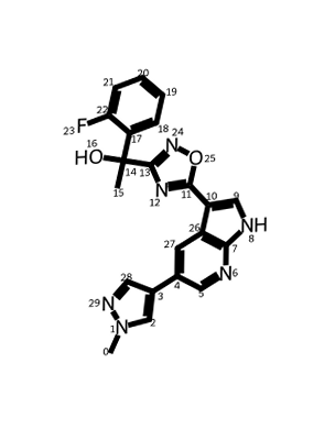 Cn1cc(-c2cnc3[nH]cc(-c4nc(C(C)(O)c5ccccc5F)no4)c3c2)cn1